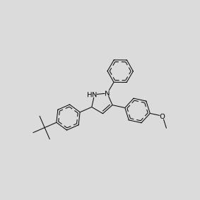 COc1ccc(C2=CC(c3ccc(C(C)(C)C)cc3)NN2c2ccccc2)cc1